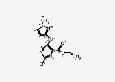 CCOC(=O)c1nc(Cl)ncc1Nc1ccn(C)n1